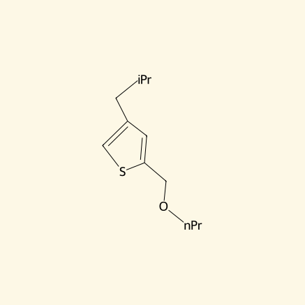 CCCOCc1cc(CC(C)C)cs1